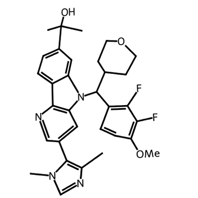 COc1ccc(C(C2CCOCC2)n2c3cc(C(C)(C)O)ccc3c3ncc(-c4c(C)ncn4C)cc32)c(F)c1F